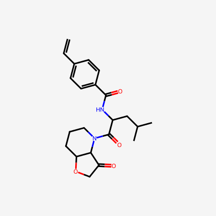 C=Cc1ccc(C(=O)NC(CC(C)C)C(=O)N2CCCC3OCC(=O)C32)cc1